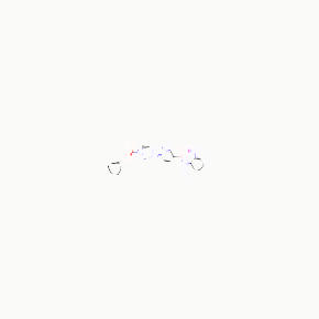 C[C@@H]1CN(c2ccc(C(=O)Nc3ccccc3N)cn2)CCN1C(=O)OCc1ccccc1